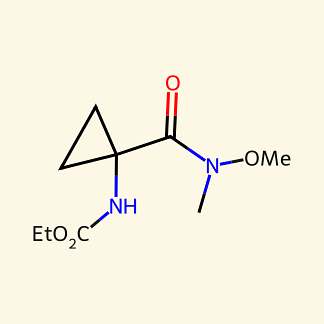 CCOC(=O)NC1(C(=O)N(C)OC)CC1